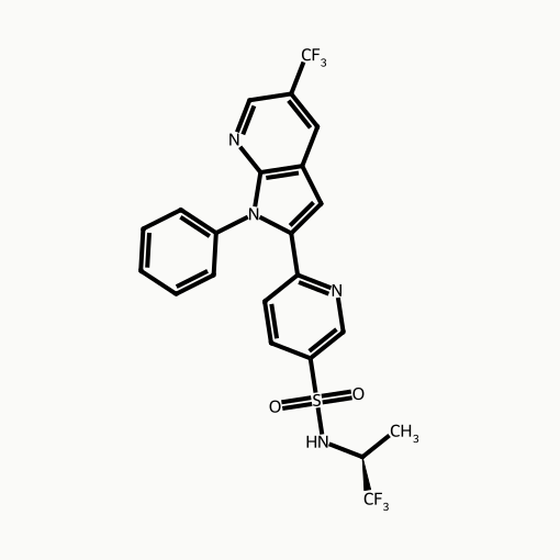 C[C@H](NS(=O)(=O)c1ccc(-c2cc3cc(C(F)(F)F)cnc3n2-c2ccccc2)nc1)C(F)(F)F